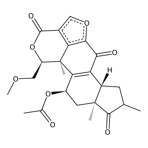 COC[C@H]1OC(=O)c2coc3c2[C@@]1(C)C1=C(C3=O)[C@@H]2CC(C)C(=O)[C@@]2(C)C[C@H]1OC(C)=O